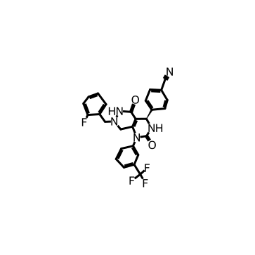 N#Cc1ccc([C@H]2NC(=O)N(c3cccc(C(F)(F)F)c3)C3=C2C(=O)NN(Cc2ccccc2F)C3)cc1